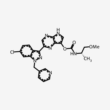 COC[C@H](C)NC(=O)Oc1c[nH]c2ncc(-c3nn(Cc4cccnc4)c4cc(Cl)ccc34)nc12